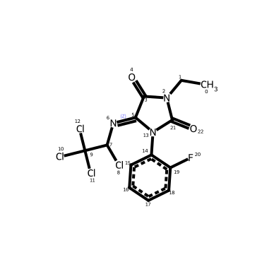 CCN1C(=O)/C(=N/C(Cl)C(Cl)(Cl)Cl)N(c2ccccc2F)C1=O